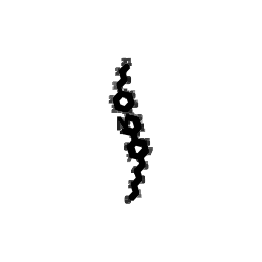 CCCCCCc1ccc(-c2ccc([C@H]3CC[C@H](CCCC)CC3)nc2)cc1